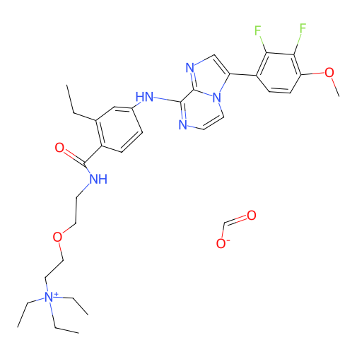 CCc1cc(Nc2nccn3c(-c4ccc(OC)c(F)c4F)cnc23)ccc1C(=O)NCCOCC[N+](CC)(CC)CC.O=C[O-]